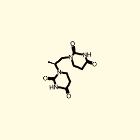 C[C@@H](CN1CCC(=O)NC1=O)N1CCC(=O)NC1=O